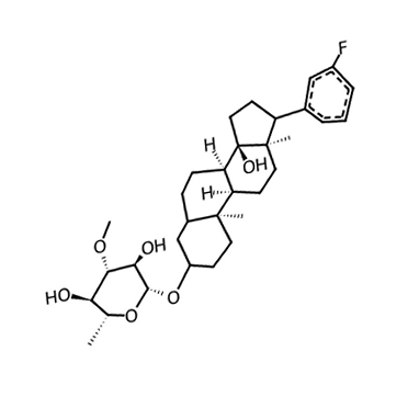 CO[C@@H]1[C@@H](O)[C@H](OC2CC[C@@]3(C)C(CC[C@@H]4[C@H]3CC[C@]3(C)C(c5cccc(F)c5)CC[C@@]43O)C2)O[C@H](C)[C@H]1O